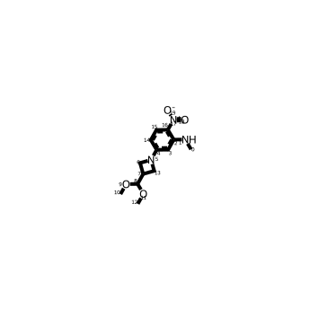 CNc1cc(N2CC(C(OC)OC)C2)ccc1[N+](=O)[O-]